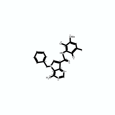 COc1cc(C)c(Cl)c(NC(=O)c2cn(Cc3ccccc3)c3c(N)ncnc23)c1Cl